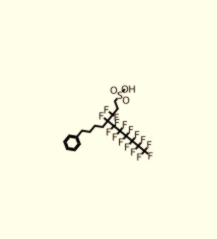 O=S(=O)(O)CCC(F)(F)C(F)(CCCCc1ccccc1)C(F)(F)C(F)(F)C(F)(F)C(F)(F)C(F)(F)C(F)(F)F